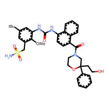 COc1c(CS(N)(=O)=O)cc(C(C)(C)C)cc1NC(=O)Nc1ccc(C(=O)N2CCOC(CCO)(c3ccccc3)C2)c2ccccc12